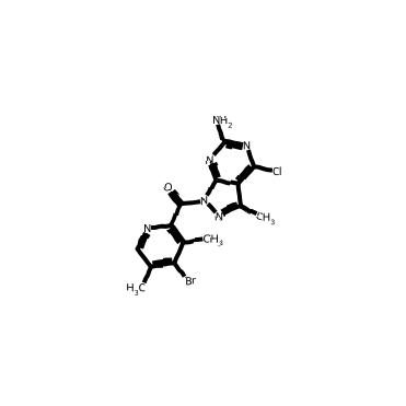 Cc1cnc(C(=O)n2nc(C)c3c(Cl)nc(N)nc32)c(C)c1Br